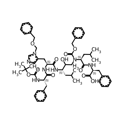 CC(C)C[C@H](NC(=O)[C@H](Cc1cncn1COCc1ccccc1)NC(=O)[C@H](Cc1ccccc1)NC(=O)OC(C)(C)C)C(O)CN(C(=O)OCc1ccccc1)[C@@H](CC(C)C)C(=O)N[C@@H](Cc1ccccc1)C(=O)O